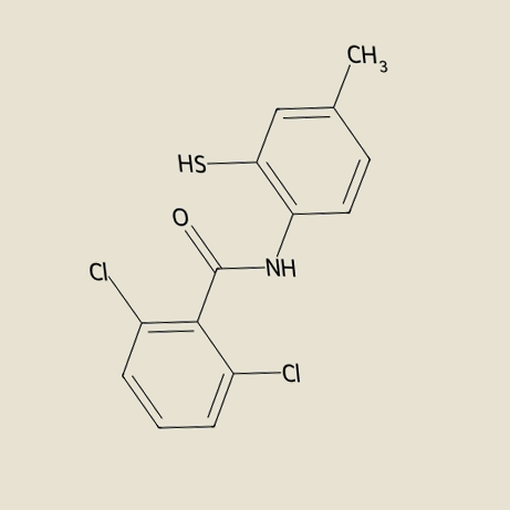 Cc1ccc(NC(=O)c2c(Cl)cccc2Cl)c(S)c1